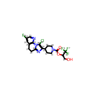 O=C(OC(CO)C(F)(F)F)N1CCC(c2nc3n(c2Cl)-c2ncc(F)cc2CC3)CC1